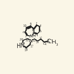 C1=CNc2ccccc2C=C1.CCCCCN1CCNCC1